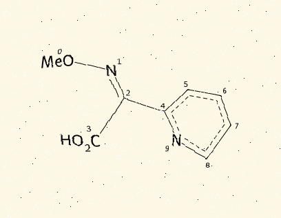 CO/N=C(\C(=O)O)c1ccccn1